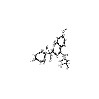 COc1ccc2c(Nc3cc(C)[nH]n3)nc(C(F)(F)c3ccc(F)cn3)nc2c1